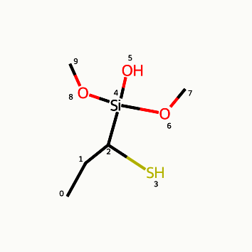 CCC(S)[Si](O)(OC)OC